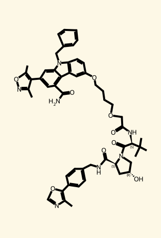 Cc1ncoc1-c1ccc(CNC(=O)[C@@H]2C[C@@H](O)CN2C(=O)[C@@H](NC(=O)COCCCCOc2ccc3c(c2)c2c(C(N)=O)cc(-c4c(C)noc4C)cc2n3Cc2ccccc2)C(C)(C)C)cc1